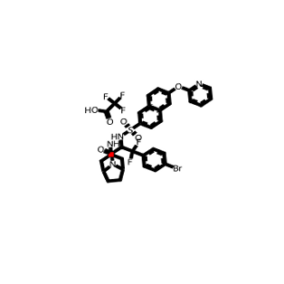 NC1CC2CCC(C1)N2C(=O)C(NS(=O)(=O)c1ccc2cc(Oc3ccccn3)ccc2c1)C(F)(F)c1ccc(Br)cc1.O=C(O)C(F)(F)F